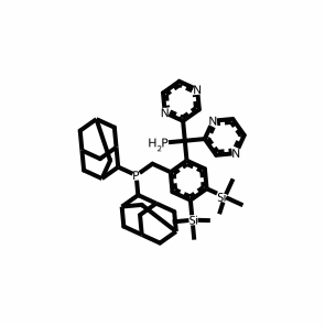 C[Si](C)(C)c1cc(CP(C2C3CC4CC(C3)CC2C4)C2C3CC4CC(C3)CC2C4)c(C(P)(c2cnccn2)c2cnccn2)cc1[Si](C)(C)C